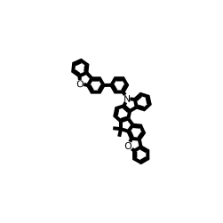 CC1(C)c2ccc3c(c2-c2ccc4c(oc5ccccc54)c21)c1ccccc1n3-c1cccc(-c2ccc3oc4ccccc4c3c2)c1